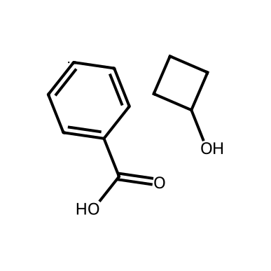 O=C(O)c1cc[c]cc1.OC1CCC1